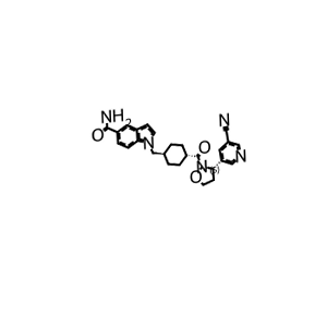 N#Cc1cncc([C@@H]2CCON2C(=O)[C@H]2CC[C@H](Cn3ccc4cc(C(N)=O)ccc43)CC2)c1